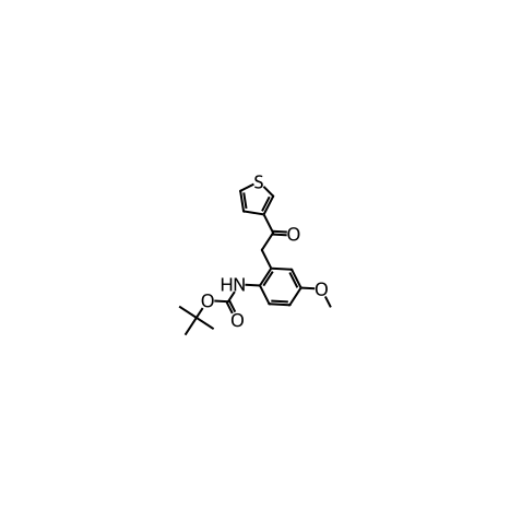 COc1ccc(NC(=O)OC(C)(C)C)c(CC(=O)c2ccsc2)c1